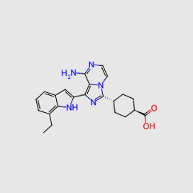 CCc1cccc2cc(-c3nc([C@H]4CC[C@H](C(=O)O)CC4)n4ccnc(N)c34)[nH]c12